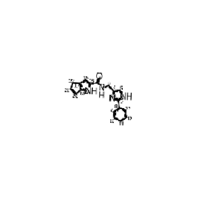 O=C(NCc1c[nH]c(-c2ccccc2)n1)c1cc2c([nH]1)C=CC2